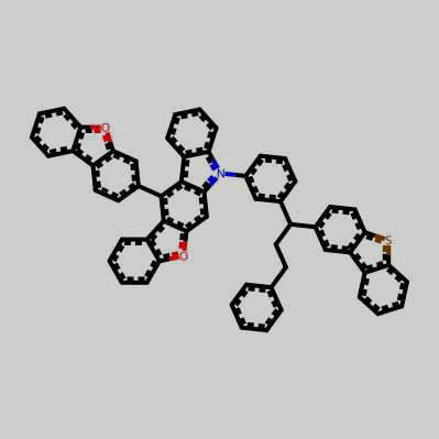 c1ccc(CCC(c2cccc(-n3c4ccccc4c4c(-c5ccc6c(c5)oc5ccccc56)c5c(cc43)oc3ccccc35)c2)c2ccc3sc4ccccc4c3c2)cc1